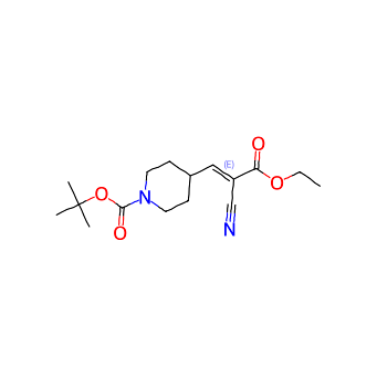 CCOC(=O)/C(C#N)=C/C1CCN(C(=O)OC(C)(C)C)CC1